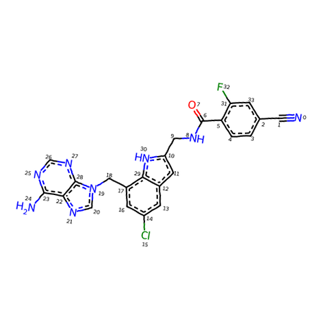 N#Cc1ccc(C(=O)NCc2cc3cc(Cl)cc(Cn4cnc5c(N)ncnc54)c3[nH]2)c(F)c1